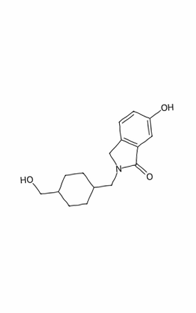 O=C1c2cc(O)ccc2CN1CC1CCC(CO)CC1